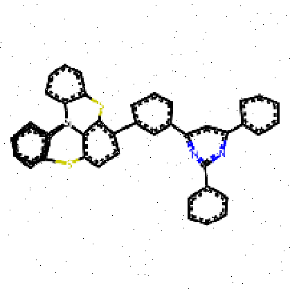 c1ccc(-c2cc(-c3cccc(-c4ccc5c6c4Sc4ccccc4[Si]6(c4ccccc4)c4ccccc4S5)c3)nc(-c3ccccc3)n2)cc1